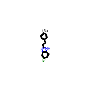 CC(C)(C)c1ccc(CCc2nc3cc(Br)ccc3[nH]2)cc1